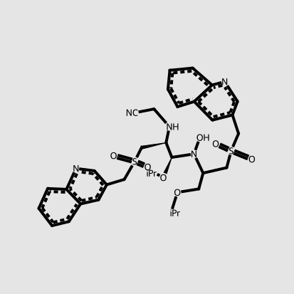 CC(C)OCC(CS(=O)(=O)Cc1cnc2ccccc2c1)N(O)[C@@H](OC(C)C)[C@@H](CS(=O)(=O)Cc1cnc2ccccc2c1)NCC#N